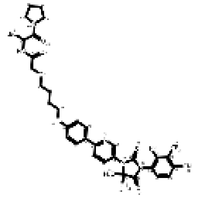 CC(C)(C)C(NC(=O)COCCCCOc1ccc(-c2ccc(N3C(=S)N(c4ccc(C#N)c(C(F)(F)F)c4F)C(=O)C3(C)C)cn2)cc1)C(=O)N1CCCC1